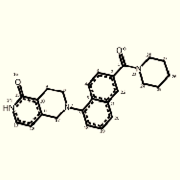 O=C(c1ccc2c(N3CCc4c(cc[nH]c4=O)C3)cccc2c1)N1CCCCC1